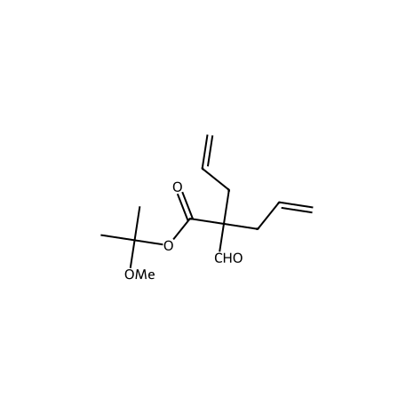 C=CCC(C=O)(CC=C)C(=O)OC(C)(C)OC